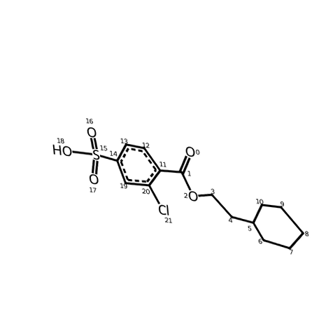 O=C(OCCC1CCCCC1)c1ccc(S(=O)(=O)O)cc1Cl